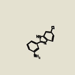 Nc1cccc(-c2nc3ccc(Cl)cc3[nH]2)c1